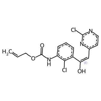 C=CCOC(=O)Nc1cccc(/C(O)=C\c2ccnc(Cl)n2)c1Cl